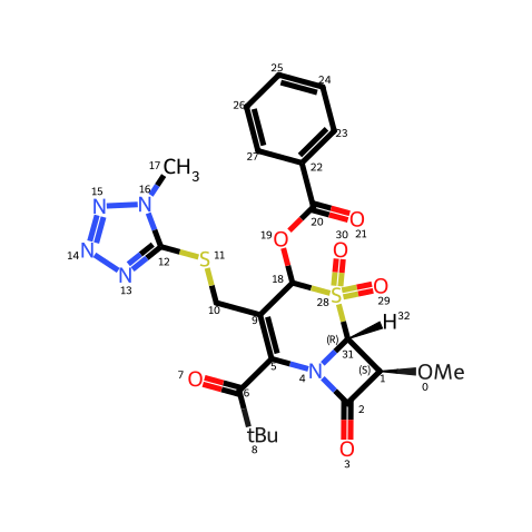 CO[C@H]1C(=O)N2C(C(=O)C(C)(C)C)=C(CSc3nnnn3C)C(OC(=O)c3ccccc3)S(=O)(=O)[C@H]12